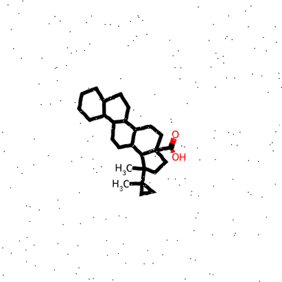 CC1(C2(C)CCC3(C(=O)O)CCC4C5CCC6CCCCC6C5CCC4C32)CC1